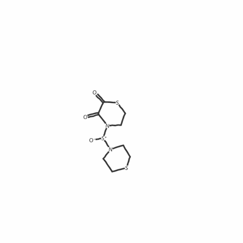 O=C1SCCN([S+]([O-])N2CCSCC2)C1=O